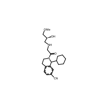 COC[C@@H](O)CNCC(=O)N1CCc2ccc(C#N)cc2C1C1CCCCC1